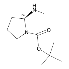 CN[C@@H]1CCCN1C(=O)OC(C)(C)C